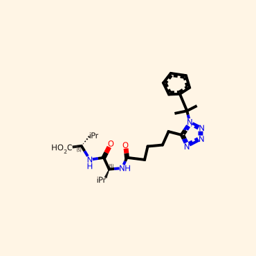 CC(C)[C@H](NC(=O)[C@@H](NC(=O)CCCCc1nnnn1C(C)(C)c1ccccc1)C(C)C)C(=O)O